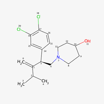 C=C(C(C)C)[C@H](CN1CCC(O)CC1)c1ccc(Cl)c(Cl)c1